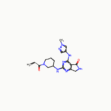 C=CC(=O)N1CCCC(Nc2nc3c(c(Nc4cnn(C)c4)n2)C(=O)NC3)C1